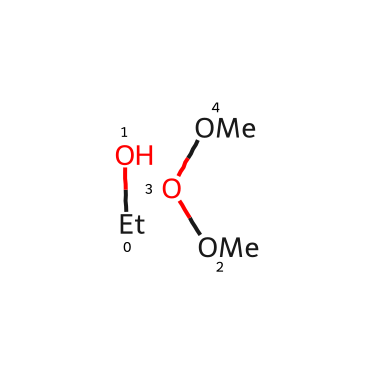 CCO.COOOC